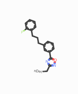 CCCCCCCCCCCc1noc(-c2cccc([CH]CCc3ccccc3F)c2)n1